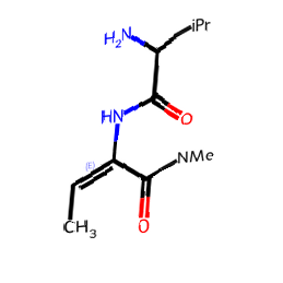 C/C=C(/NC(=O)C(N)C(C)C)C(=O)NC